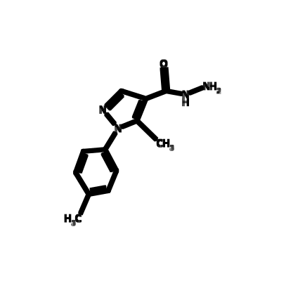 Cc1ccc(-n2ncc(C(=O)NN)c2C)cc1